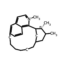 CC1CC2CCCCCCc3ccc4c([n+](C)ccc4c3)C(C2)[C@@H]1C